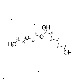 OCCCCCC(O)OCCOCCO